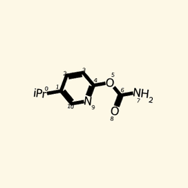 CC(C)c1ccc(OC(N)=O)nc1